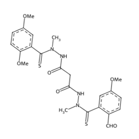 COc1ccc(C=O)c(C(=S)N(C)NC(=O)CC(=O)NN(C)C(=S)c2cc(OC)ccc2OC)c1